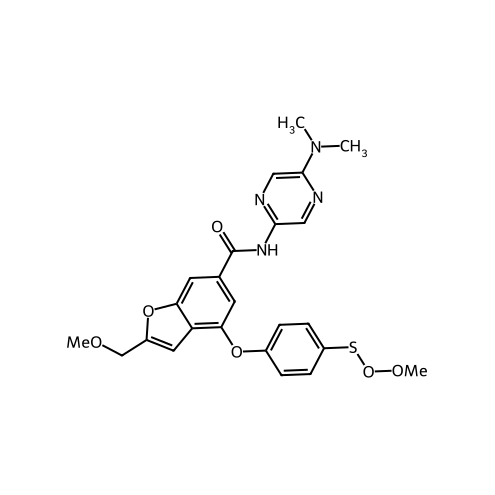 COCc1cc2c(Oc3ccc(SOOC)cc3)cc(C(=O)Nc3cnc(N(C)C)cn3)cc2o1